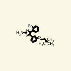 CC(C)(C)CCOc1cccc(-c2sc(N)nc2-c2ccccc2Br)c1